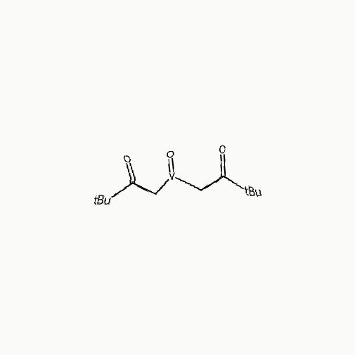 CC(C)(C)C(=O)[CH2][V](=[O])[CH2]C(=O)C(C)(C)C